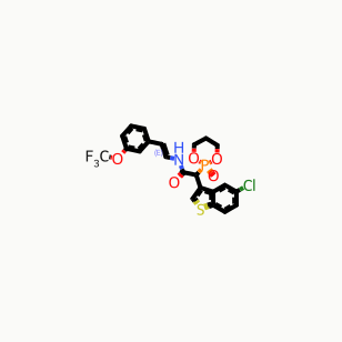 O=C(N/C=C/c1cccc(OC(F)(F)F)c1)C(c1csc2ccc(Cl)cc12)P1(=O)OCCCO1